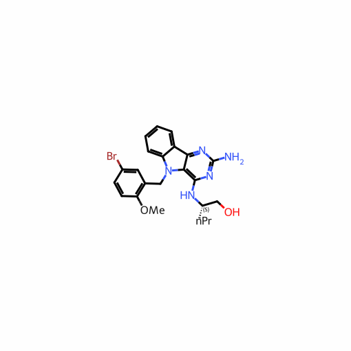 CCC[C@@H](CO)Nc1nc(N)nc2c3ccccc3n(Cc3cc(Br)ccc3OC)c12